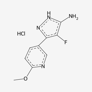 COc1ccc(-c2n[nH]c(N)c2F)cn1.Cl